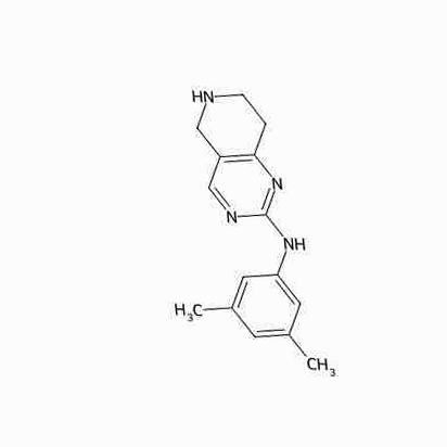 Cc1cc(C)cc(Nc2ncc3c(n2)CCNC3)c1